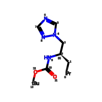 CC(C)C[C@@H](Cn1cncn1)NC(=O)OC(C)(C)C